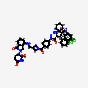 O=C1CCC(N2Cc3c(NCC4CN(C(=O)c5ccc(NC(=O)[C@@H]6NC7(CCCCC7)[C@@]7(C(=O)Nc8cc(Cl)ccc87)[C@H]6c6cccc(Cl)c6F)cc5)C4)cccc3C2=O)C(=O)N1